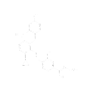 CON=C(C)c1ccc(OCc2c(Cc3ccc(C(=O)O)cc3C(=O)O)cccc2C2CC2)c(C)c1